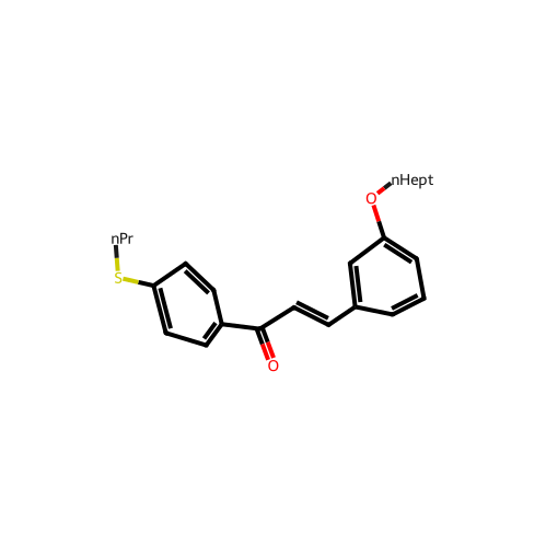 CCCCCCCOc1cccc(/C=C/C(=O)c2ccc(SCCC)cc2)c1